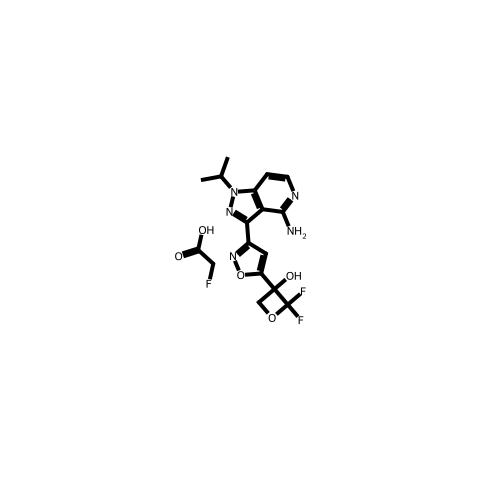 CC(C)n1nc(-c2cc(C3(O)COC3(F)F)on2)c2c(N)nccc21.O=C(O)CF